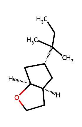 CCC(C)(C)[C@@H]1C[C@H]2CCO[C@H]2C1